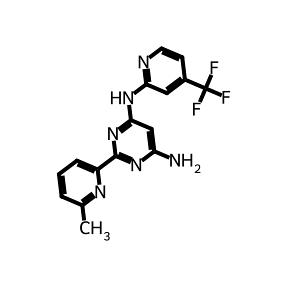 Cc1cccc(-c2nc(N)cc(Nc3cc(C(F)(F)F)ccn3)n2)n1